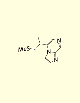 CSCC(C)c1cncc2nccn12